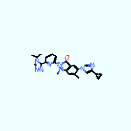 Cc1cc2c(cc1-n1cnc(C3CC3)c1)c(=O)n(-c1cccc(-c3nncn3C(C)C)n1)n2C